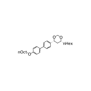 CCCCCCCCOc1ccc(-c2ccc([C@H]3C[C@@H](CCCCCC)OCO3)cc2)cc1